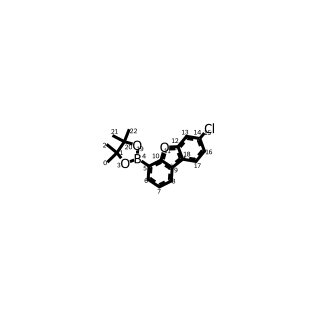 CC1(C)OB(c2cccc3c2oc2cc(Cl)ccc23)OC1(C)C